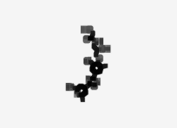 CCc1cc(-c2nc(-c3cc(C)c(OC[C@H](O)CNC(=O)CO)c(Cl)c3)no2)cc(C)n1